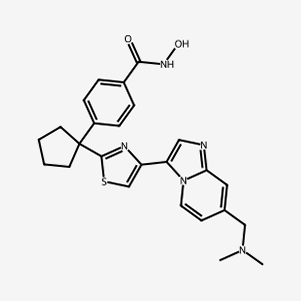 CN(C)Cc1ccn2c(-c3csc(C4(c5ccc(C(=O)NO)cc5)CCCC4)n3)cnc2c1